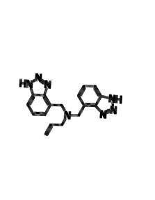 C=CCN(Cc1cccc2[nH]nnc12)Cc1cccc2[nH]nnc12